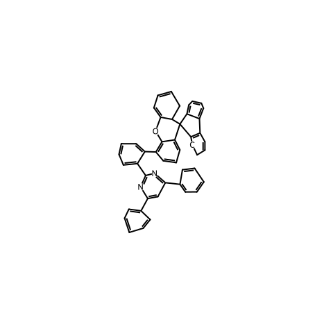 C1=CCC2C(=C1)Oc1c(-c3ccccc3-c3nc(-c4ccccc4)cc(-c4ccccc4)n3)cccc1C21C2=C(C=CCC2)c2ccccc21